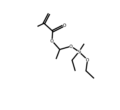 C=C(C)C(=O)OC(C)O[Si](C)(CC)OCC